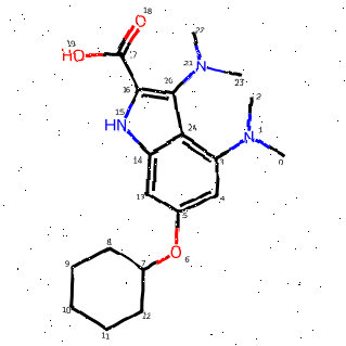 CN(C)c1cc(OC2CCCCC2)cc2[nH]c(C(=O)O)c(N(C)C)c12